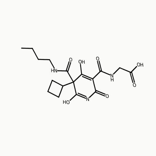 CCCCNC(=O)C1(C2CCC2)C(O)=NC(=O)C(C(=O)NCC(=O)O)=C1O